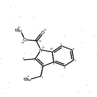 Cc1c(CC(C)(C)C)c2ccccc2n1C(=O)OC(C)(C)C